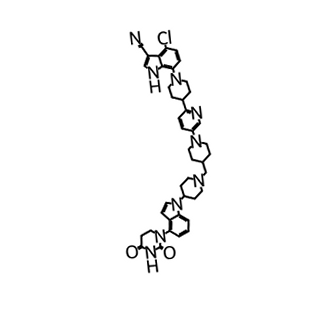 N#Cc1c[nH]c2c(N3CCC(c4ccc(N5CCC(CN6CCC(n7ccc8c(N9CCC(=O)NC9=O)cccc87)CC6)CC5)cn4)CC3)ccc(Cl)c12